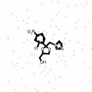 O=[N+]([O-])c1ccc(C2(Cn3ccnc3)OCC(CO)O2)c(Cl)c1